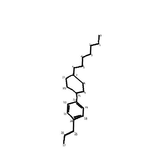 CCCCCCCC1CCC(c2ccc(CCC)cc2)CC1